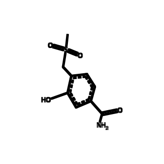 CS(=O)(=O)Cc1ccc(C(N)=O)cc1O